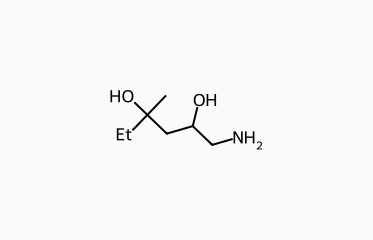 CCC(C)(O)CC(O)CN